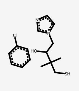 CC(C)(CS)C(O)Cn1ccnc1.Clc1ccccc1